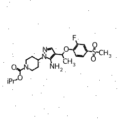 CC(C)OC(=O)N1CCC(n2ncc(C(C)Oc3ccc(S(C)(=O)=O)cc3F)c2N)CC1